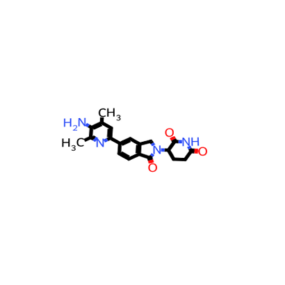 Cc1cc(-c2ccc3c(c2)CN(C2CCC(=O)NC2=O)C3=O)nc(C)c1N